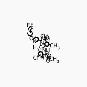 Cc1cc([C@@H](C)Nc2ccc(Cl)nc2C(=O)NS(C)(=O)=O)c2nc(-c3ccc(OC4CCN(CC(F)(F)F)CC4)nc3)n(C)c(=O)c2c1